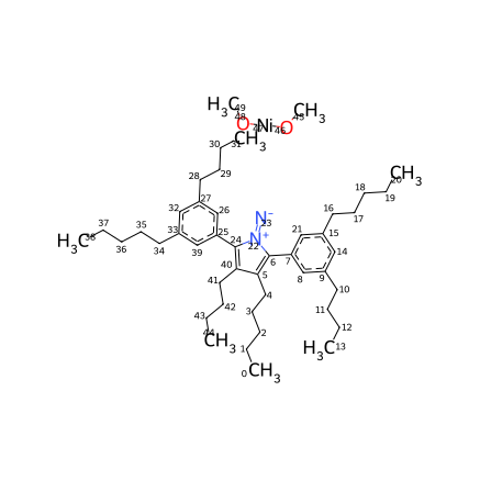 CCCCCC1=C(c2cc(CCCC)cc(CCCCC)c2)[N+](=[N-])C(c2cc(CCCC)cc(CCCCC)c2)=C1CCCC.C[O][Ni][O]C